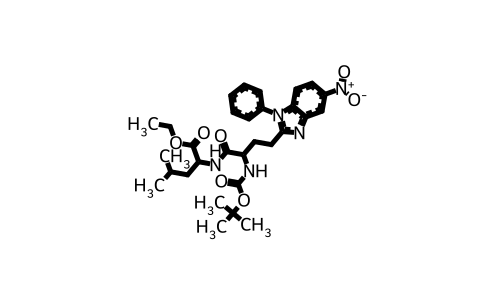 CCOC(=O)C(CC(C)C)NC(=O)C(CCc1nc2cc([N+](=O)[O-])ccc2n1-c1ccccc1)NC(=O)OC(C)(C)C